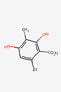 CCc1cc(O)c(C)c(O)c1C(=O)O